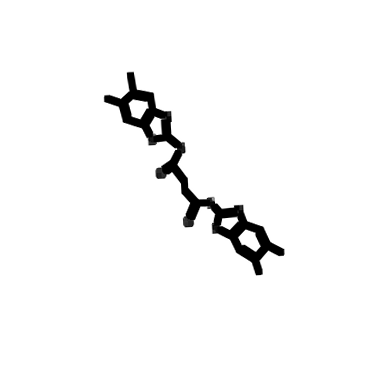 Cc1cc2nc(SC(=O)CCC(=O)Sc3nc4cc(C)c(C)cc4s3)sc2cc1C